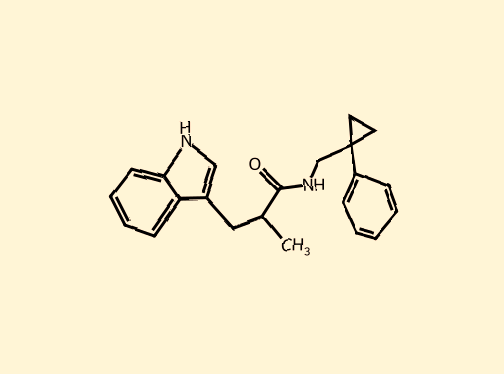 CC(Cc1c[nH]c2ccccc12)C(=O)NCC1(c2ccccc2)CC1